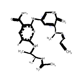 C=C/C=N\N(C)/C(=C/C(=C\C)Nc1nc(NC(C)[C@H](C)NC(=C)C)c(F)cc1C(N)=O)C(=C)C